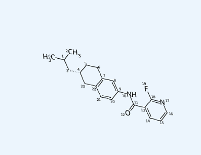 C[C](C)C[C@@H]1CCc2cc(NC(=O)c3cccnc3F)ccc2C1